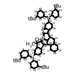 CC(C)(C)c1cccc(N(c2cccc(C(C)(C)C)c2)c2ccc3c(c2)C(C)(C)c2c-3c3c4ccccc4cc4c5c6ccc(N(c7cccc(C(C)(C)C)c7)c7cccc(C(C)(C)C)c7)cc6sc5n2c43)c1